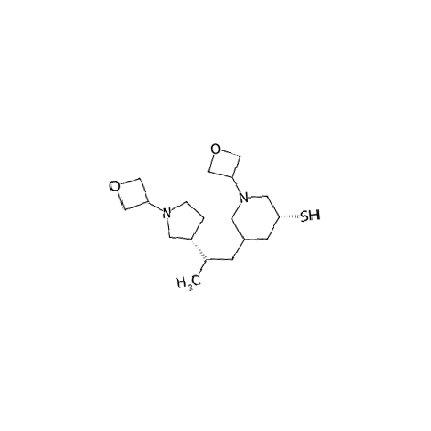 CC(CC1C[C@@H](S)CN(C2COC2)C1)[C@H]1CCN(C2COC2)C1